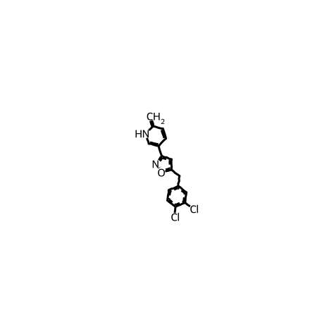 C=C1C=CC(c2cc(Cc3ccc(Cl)c(Cl)c3)on2)=CN1